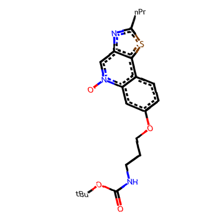 CCCc1nc2c[n+]([O-])c3cc(OCCCNC(=O)OC(C)(C)C)ccc3c2s1